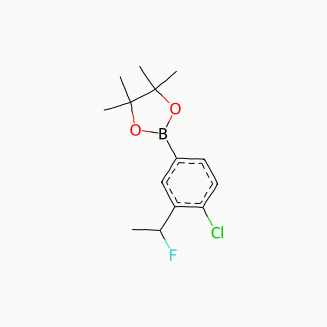 CC(F)c1cc(B2OC(C)(C)C(C)(C)O2)ccc1Cl